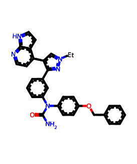 CCn1cc(-c2ccnc3[nH]ccc23)c(-c2cccc(N(C(N)=O)c3ccc(OCc4ccccc4)cc3)c2)n1